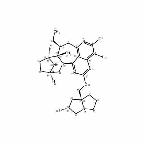 CC[C@H]1Cc2nc(Cl)c(F)c3nc(OC[C@@]45CCCN4C[C@H](F)C5)nc(c23)N2C[C@H]3CC[C@H](N3)[C@]12C